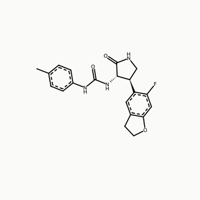 Cc1ccc(NC(=O)N[C@@H]2C(=O)NC[C@H]2c2cc3c(cc2F)OCC3)cc1